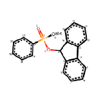 CO[P@@](=O)(OC1c2ccccc2-c2ccccc21)c1ccccc1